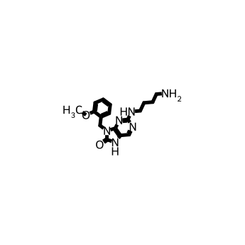 COc1ccccc1Cn1c(=O)[nH]c2cnc(NCCCCN)nc21